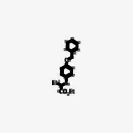 CCOC(=O)C(CC)Sc1ccc(OCc2ccccc2)cc1